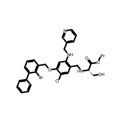 CC(C)OC(=O)[C@H](CO)NCc1cc(Cl)c(OCc2cccc(-c3ccccc3)c2Br)cc1NCc1cccnc1